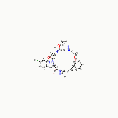 C[C@@H]1CN[C@@H](C2CC2)C(=O)N(C)[C@H](C)C(=O)N[C@H](Cc2ccc(F)cc2)C(=O)N[C@@H](C)CCc2ccccc2O1